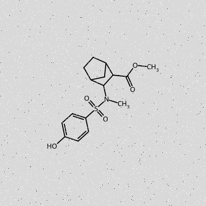 COC(=O)C1C2CCC(C2)C1N(C)S(=O)(=O)c1ccc(O)cc1